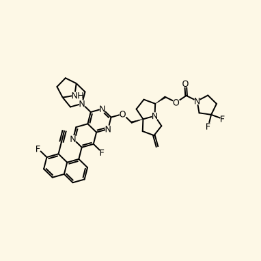 C#Cc1c(F)ccc2cccc(-c3ncc4c(N5CC6CCC(C5)N6)nc(OC[C@@]56CC[C@@H](COC(=O)N7CCC(F)(F)C7)N5CC(=C)C6)nc4c3F)c12